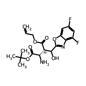 C=CCOC(=O)[C@@H](C(N)C(=O)OC(C)(C)C)C(O)c1nc2c(F)cc(F)cc2o1